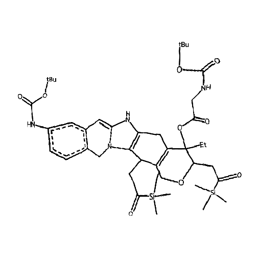 CCC1(OC(=O)CNC(=O)OC(C)(C)C)C2=C(COC1CC(=O)[Si](C)(C)C)C(CC(=O)[Si](C)(C)C)C1=C(C2)NC2=Cc3cc(NC(=O)OC(C)(C)C)ccc3CN21